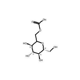 O=C(O)OCC1O[C@H](CO)[C@@H](O)[C@H](O)[C@H]1O